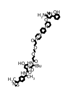 Cc1ncsc1-c1ccc(C(C)NC(=O)C2CC(O)CN2C(=O)C(NC(=O)CCOCCOCCC(=O)N2CCN(c3ccc(N4CCCC(Oc5cc(-c6ccccc6O)nnc5N)C4)cc3)CC2)C(C)(C)C)cc1